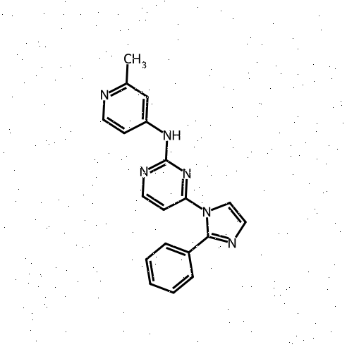 Cc1cc(Nc2nccc(-n3ccnc3-c3ccccc3)n2)ccn1